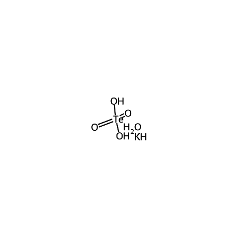 O.O=[Te](=O)(O)O.[KH]